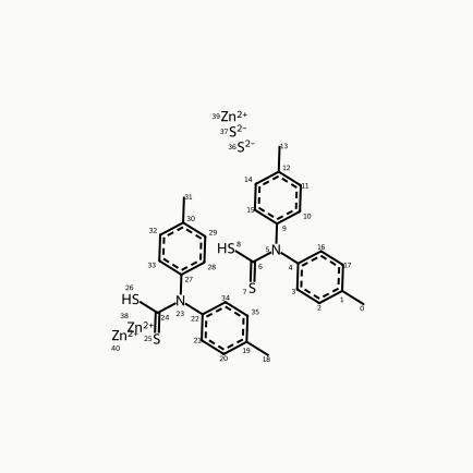 Cc1ccc(N(C(=S)S)c2ccc(C)cc2)cc1.Cc1ccc(N(C(=S)S)c2ccc(C)cc2)cc1.[S-2].[S-2].[Zn+2].[Zn+2].[Zn+2]